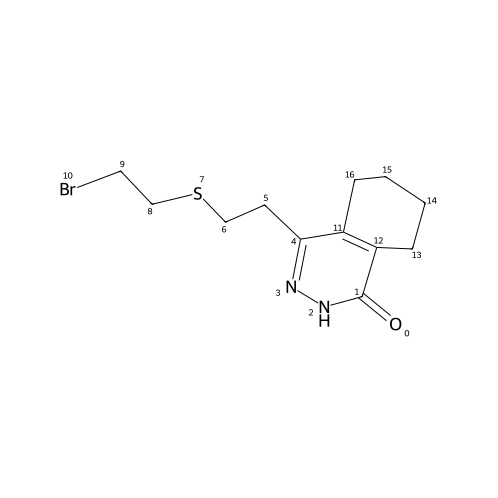 O=c1[nH]nc(CCSCCBr)c2c1CCCC2